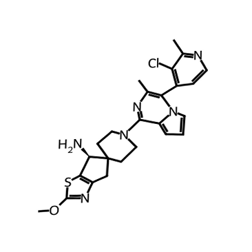 COc1nc2c(s1)[C@@H](N)C1(CCN(c3nc(C)c(-c4ccnc(C)c4Cl)n4cccc34)CC1)C2